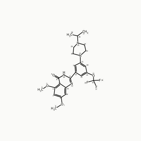 COc1cc(OC)c2c(=O)[nH]c(-c3cc(OC(F)(F)F)cc(N4CCN(C(C)C)CC4)c3)nc2c1